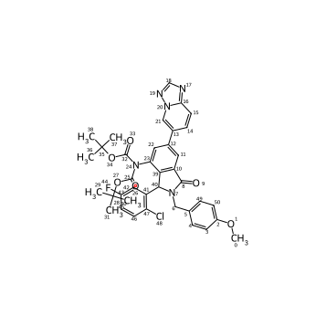 COc1ccc(CN2C(=O)c3cc(-c4ccc5ncnn5c4)cc(N(C(=O)OC(C)(C)C)C(=O)OC(C)(C)C)c3C2c2cc(F)ccc2Cl)cc1